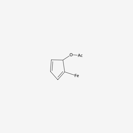 CC(=O)OC1C=CC=[C]1[Fe]